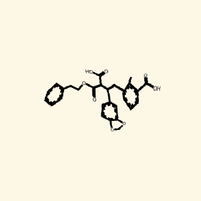 Cc1c(CC(c2ccc3c(c2)OCO3)C(C(=O)O)C(=O)OCCc2ccccc2)cccc1C(=O)O